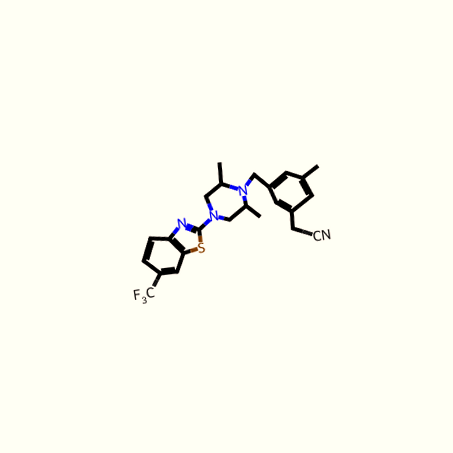 Cc1cc(CC#N)cc(CN2C(C)CN(c3nc4ccc(C(F)(F)F)cc4s3)CC2C)c1